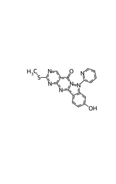 CSc1ncc2c(=O)n3c(nc2n1)c1ccc(O)cc1n3-c1ccccn1